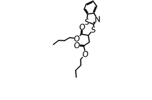 CCCCOC(=O)CC(Sc1nc2ccccc2s1)C(=O)OCCCC